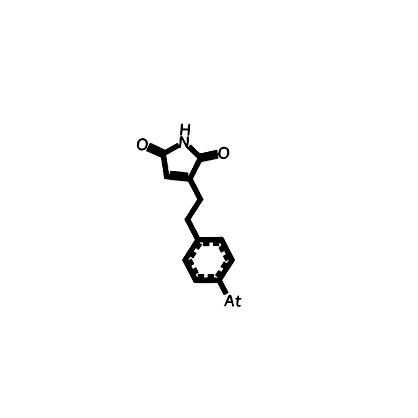 O=C1C=C(CCc2ccc([At])cc2)C(=O)N1